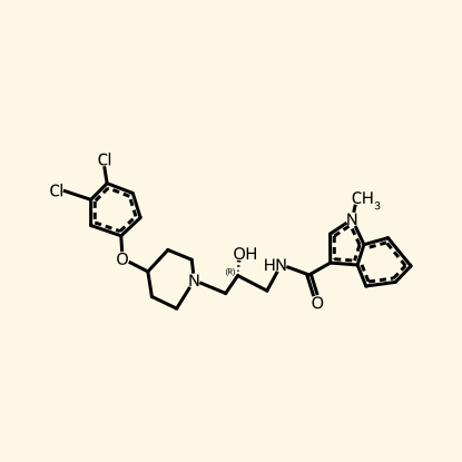 Cn1cc(C(=O)NC[C@@H](O)CN2CCC(Oc3ccc(Cl)c(Cl)c3)CC2)c2ccccc21